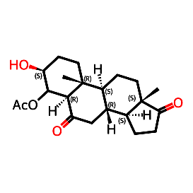 CC(=O)OC1[C@@H](O)CC[C@@]2(C)[C@H]1C(=O)C[C@@H]1[C@@H]2CC[C@]2(C)C(=O)CC[C@@H]12